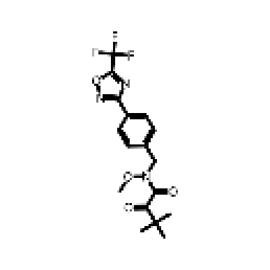 CON(Cc1ccc(-c2noc(C(F)(F)F)n2)cc1)C(=O)C(=O)C(C)(C)C